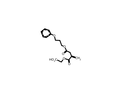 C=C(CC(=O)OCCCOc1ccccc1)C(=O)OCC(=O)O